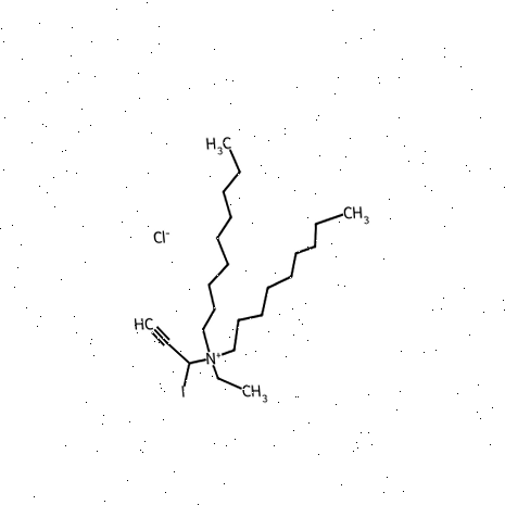 C#CC(I)[N+](CC)(CCCCCCCCC)CCCCCCCCC.[Cl-]